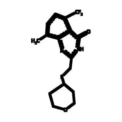 Cc1ccc(C(F)(F)F)c2c(=O)[nH]c(CSC3CCOCC3)nc12